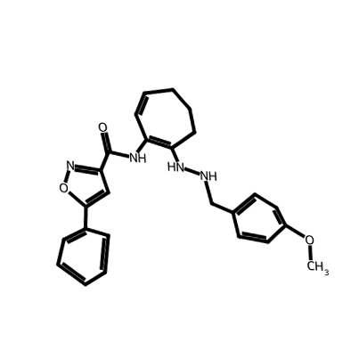 COc1ccc(CNNC2=C(NC(=O)c3cc(-c4ccccc4)on3)C=CCCC2)cc1